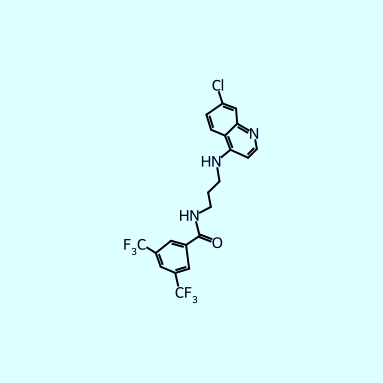 O=C(NCCCNc1ccnc2cc(Cl)ccc12)c1cc(C(F)(F)F)cc(C(F)(F)F)c1